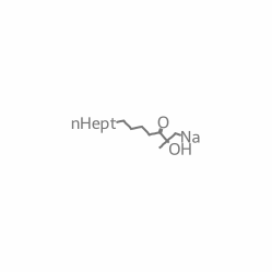 CCCCCCCCCCCC(=O)C(C)(O)[CH2][Na]